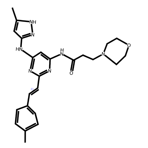 Cc1ccc(/C=C/c2nc(NC(=O)CCN3CCOCC3)cc(Nc3cc(C)[nH]n3)n2)cc1